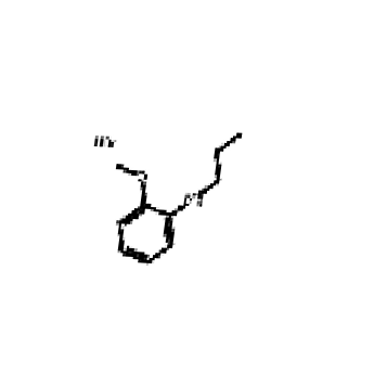 Br.CC[CH2][Mg][c]1ccccc1OC